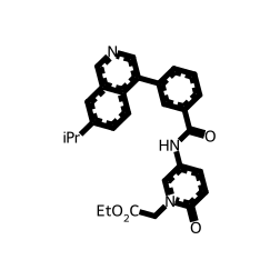 CCOC(=O)Cn1cc(NC(=O)c2cccc(-c3cncc4cc(C(C)C)ccc34)c2)ccc1=O